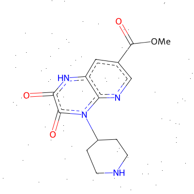 COC(=O)c1cnc2c(c1)[nH]c(=O)c(=O)n2C1CCNCC1